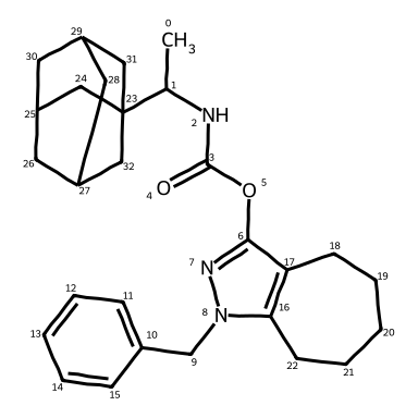 CC(NC(=O)Oc1nn(Cc2ccccc2)c2c1CCCCC2)C12CC3CC(CC(C3)C1)C2